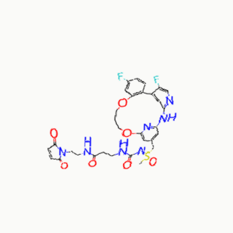 CS(=O)(Cc1cc2nc(c1)OCCCOc1cc(F)ccc1-c1cc(ncc1F)N2)=NC(=O)NCCC(=O)NCCN1C(=O)C=CC1=O